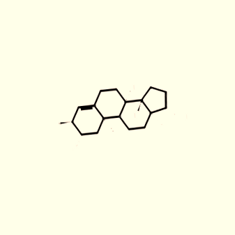 C[C@]12CCC3[C@@H](CCC4=C[C@H](O)[C@@H](O)C[C@@]43C)[C@@H]1CC[C@@H]2O